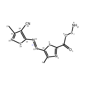 Cc1nc(C(=O)OSN)sc1/N=N/c1snc(C)c1C#N